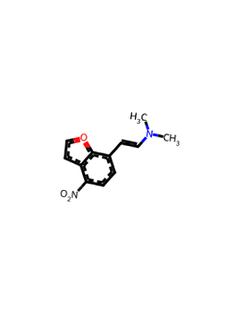 CN(C)C=Cc1ccc([N+](=O)[O-])c2ccoc12